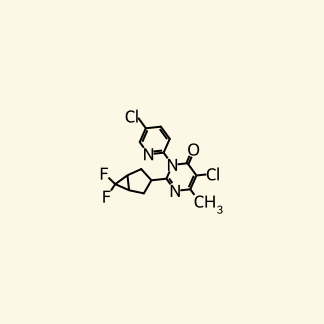 Cc1nc(C2CC3C(C2)C3(F)F)n(-c2ccc(Cl)cn2)c(=O)c1Cl